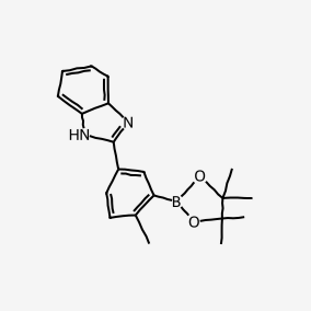 Cc1ccc(-c2nc3ccccc3[nH]2)cc1B1OC(C)(C)C(C)(C)O1